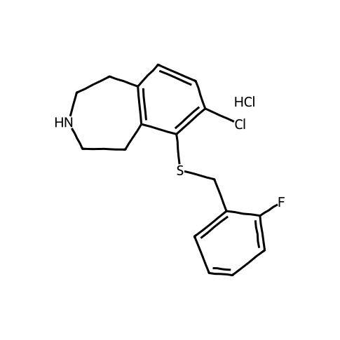 Cl.Fc1ccccc1CSc1c(Cl)ccc2c1CCNCC2